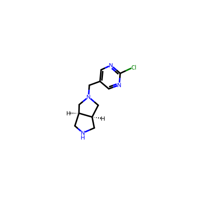 Clc1ncc(CN2C[C@H]3CNC[C@H]3C2)cn1